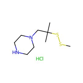 CSSC(C)(C)CN1CCNCC1.Cl